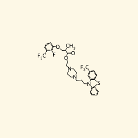 CC(COc1cccc(C(F)(F)F)c1F)C(=O)OCCN1CCN(CCCN2c3ccccc3Sc3ccc(C(F)(F)F)cc32)CC1